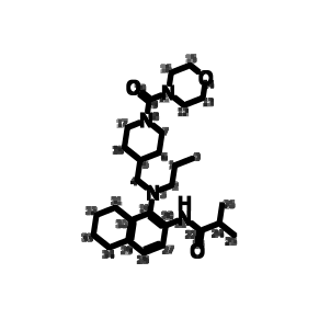 CCCN(CC1CCN(C(=O)N2CCOCC2)CC1)c1c(NC(=O)C(C)C)ccc2c1CCCC2